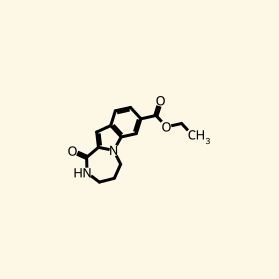 CCOC(=O)c1ccc2cc3n(c2c1)CCCNC3=O